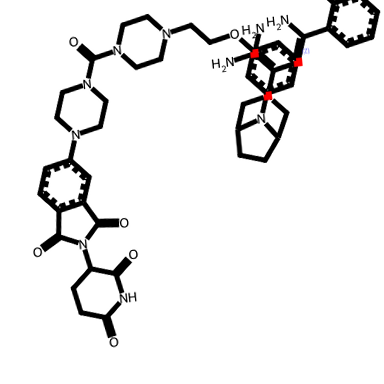 NC(N)=C(/C=C(\N)c1ccccc1O)N1CC2CCC(C1)N2c1cccc(OCCN2CCN(C(=O)N3CCN(c4ccc5c(c4)C(=O)N(C4CCC(=O)NC4=O)C5=O)CC3)CC2)c1